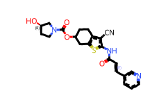 N#Cc1c(NC(=O)/C=C/c2cccnc2)sc2c1CCC(OC(=O)N1CC[C@@H](O)C1)C2